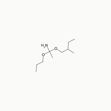 CCCOC(C)(N)OCC(C)CC